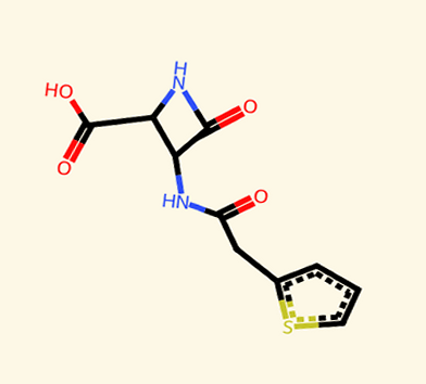 O=C(Cc1cccs1)NC1C(=O)NC1C(=O)O